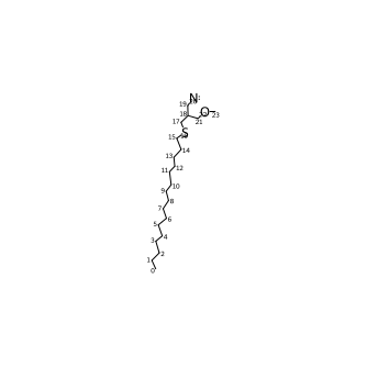 CCCCCCCCCCCCCCCCSCC(C[N])COC